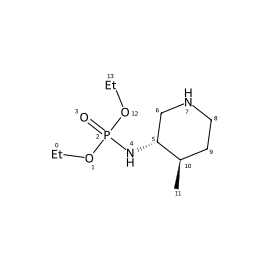 CCOP(=O)(N[C@@H]1CNCC[C@H]1C)OCC